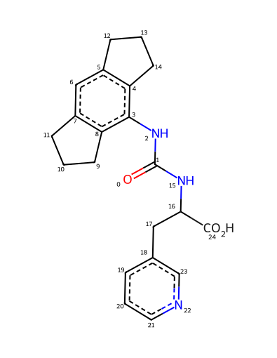 O=C(Nc1c2c(cc3c1CCC3)CCC2)NC(Cc1cccnc1)C(=O)O